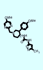 COc1ccc(C2CN(Cc3ncc(OC)cn3)CC[C@H]2NC(=O)Nc2cc(C)ns2)cc1